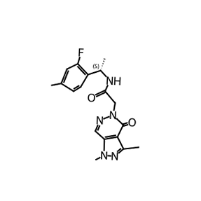 Cc1ccc([C@H](C)NC(=O)Cn2ncc3c(c(C)nn3C)c2=O)c(F)c1